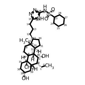 CC[C@H]1[C@@H](O)[C@@H]2[C@H](CC[C@]3(C)[C@@H](CCCc4nnc(NS(=O)(=O)C5CCCCC5)[nH]4)CC[C@@H]23)[C@@]2(C)CC[C@@H](O)C[C@@H]12